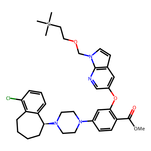 COC(=O)c1ccc(N2CCN([C@H]3CCCCc4c(Cl)cccc43)CC2)cc1Oc1cnc2c(ccn2COCC[Si](C)(C)C)c1